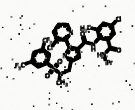 Cc1cc(Cl)cc(C(=O)NC(C)C)c1NC(=O)c1cc(CN(C)S(=O)(=O)c2cc(C(F)(F)F)cc(C(F)(F)F)c2)nn1-c1ncccc1Cl